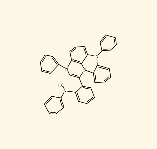 CN(c1ccccc1)c1ccccc1C1=CN(c2ccccc2)c2cccc3c2B1c1ccccc1N3c1ccccc1